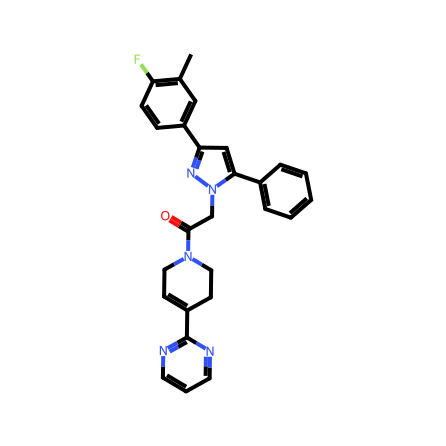 Cc1cc(-c2cc(-c3ccccc3)n(CC(=O)N3CC=C(c4ncccn4)CC3)n2)ccc1F